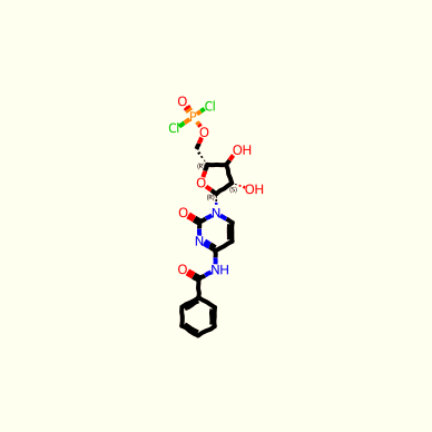 O=C(Nc1ccn([C@@H]2O[C@H](COP(=O)(Cl)Cl)C(O)[C@@H]2O)c(=O)n1)c1ccccc1